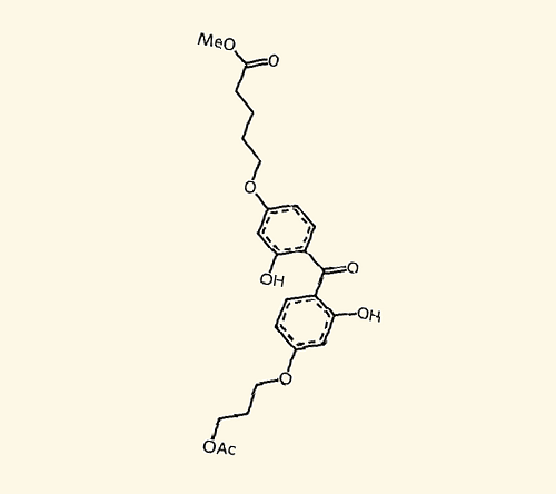 COC(=O)CCCCOc1ccc(C(=O)c2ccc(OCCCOC(C)=O)cc2O)c(O)c1